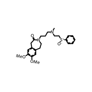 COc1cc2c(cc1OC)CC(=O)N(CCCN(C)CC[S+]([O-])c1ccccc1)CC2